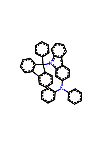 c1ccc(N(c2ccccc2)c2ccc3c4ccccc4n(C4(c5ccccc5)c5ccccc5-c5ccccc54)c3c2)cc1